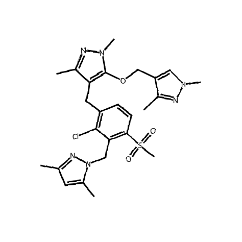 Cc1cc(C)n(Cc2c(S(C)(=O)=O)ccc(Cc3c(C)nn(C)c3OCc3cn(C)nc3C)c2Cl)n1